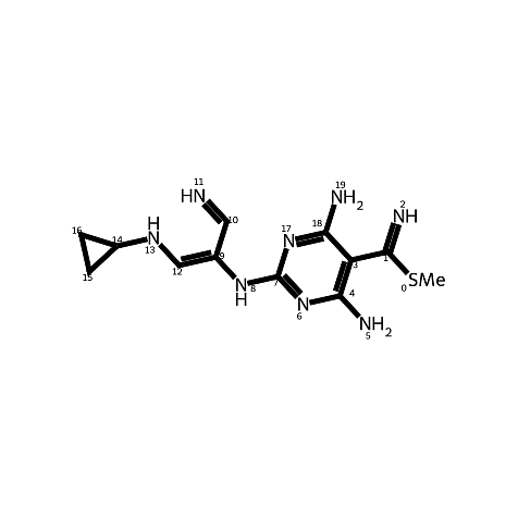 CSC(=N)c1c(N)nc(N/C(C=N)=C/NC2CC2)nc1N